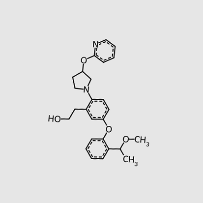 COC(C)c1ccccc1Oc1ccc(N2CCC(Oc3ccccn3)C2)c(CCO)c1